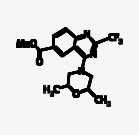 COC(=O)c1ccc2nc(C(F)(F)F)nc(N3CC(C)OC(C)C3)c2c1